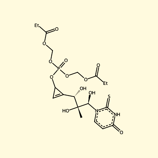 CCC(=O)OCOP(=O)(OCOC(=O)CC)OC1C=C1[C@H](O)[C@@](C)(O)[C@@H](O)n1ccc(=O)[nH]c1=S